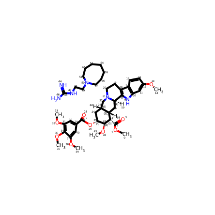 COC(=O)[C@H]1[C@H]2C[C@@H]3c4[nH]c5cc(OC)ccc5c4CCN3C[C@H]2C[C@@H](OC(=O)c2cc(OC)c(OC)c(OC)c2)[C@@H]1OC.N=C(N)NCCN1CCCCCCC1